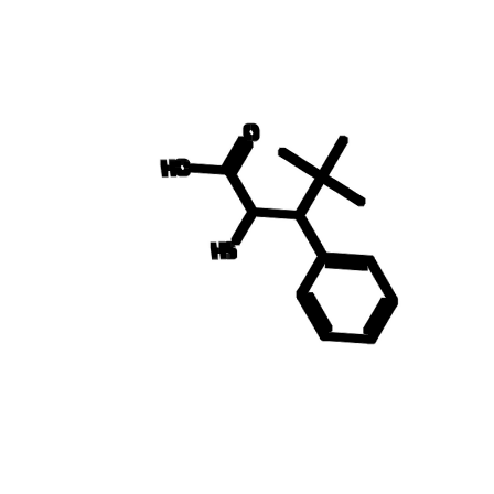 CC(C)(C)C(c1ccccc1)C(S)C(=O)O